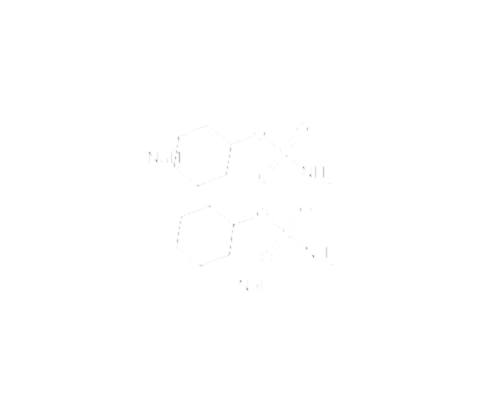 NS(=O)(=O)OC1CCCCC1.NS(=O)(=O)OC1CCCCC1.[NaH].[NaH]